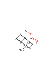 COC=O.N#CC12C3C4C5C3C1C5C42